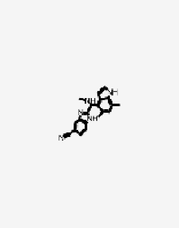 CNC(c1nc2cc(C#N)ccc2[nH]1)c1c(C)cc(C)c2[nH]ccc12